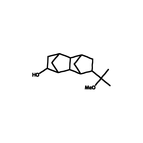 COC(C)(C)C1CC2CC1C1C3CC(CC3O)C21